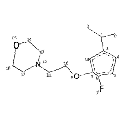 CC(C)c1ccc(F)c(OCCN2CCOCC2)c1